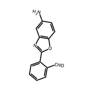 Nc1ccc2oc(-c3ccccc3C=O)nc2c1